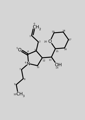 C=CCC1C(=O)N(CCCC)CC1C(O)C1CCCCO1